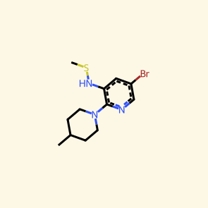 CSNc1cc(Br)cnc1N1CCC(C)CC1